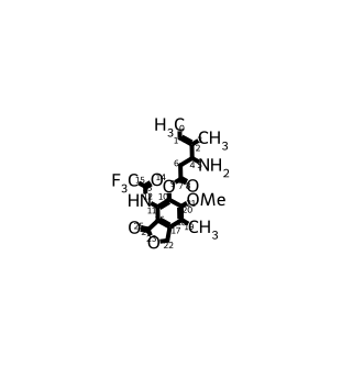 CC=C(C)C(N)CC(=O)Oc1c(NC(=O)C(F)(F)F)c2c(c(C)c1OC)COC2=O